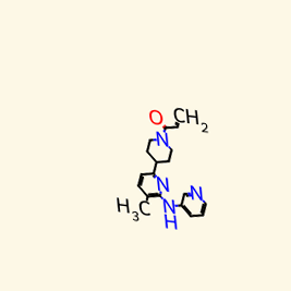 C=CC(=O)N1CCC(c2ccc(C)c(Nc3cccnc3)n2)CC1